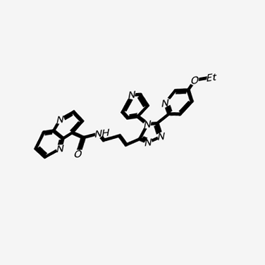 CCOc1ccc(-c2nnc(CCCNC(=O)c3ccnc4cccnc34)n2-c2ccncc2)nc1